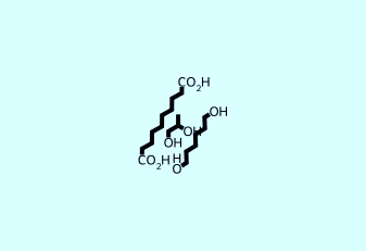 CC(O)CO.O=C(O)CCCCCCCCC(=O)O.OCCCCCCO